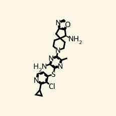 Cc1nc(Sc2ccnc(C3CC3)c2Cl)c(N)nc1N1CCC2(CC1)Cc1ncoc1[C@H]2N